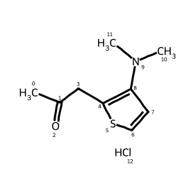 CC(=O)Cc1sccc1N(C)C.Cl